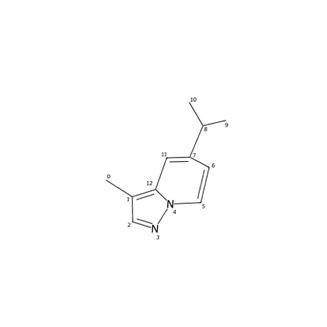 Cc1cnn2ccc(C(C)C)cc12